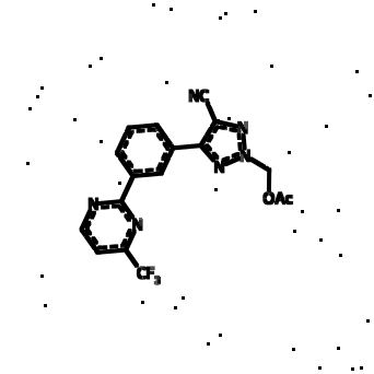 CC(=O)OCn1nc(C#N)c(-c2cccc(-c3nccc(C(F)(F)F)n3)c2)n1